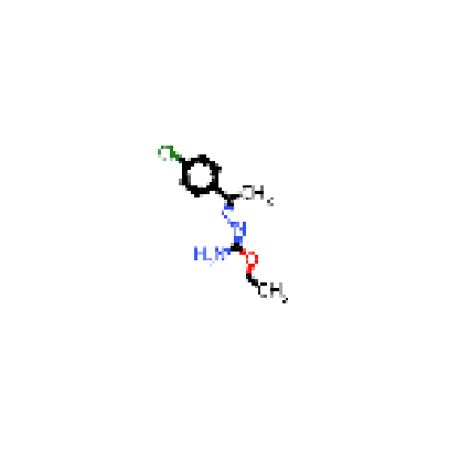 CCO/C(N)=N/N=C(\C)c1ccc(Cl)cc1